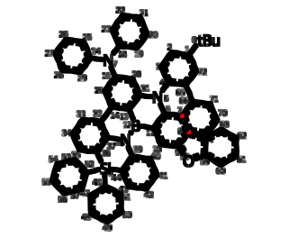 CC(C)(C)c1ccc(N2c3cc4c(cc3B3c5c(cc(N(c6ccccc6)c6ccccc6)cc52)-c2cccc5c2N3c2ccccc2[Si]5(c2ccccc2)c2ccccc2)oc2ccccc24)c(-c2ccccc2)c1